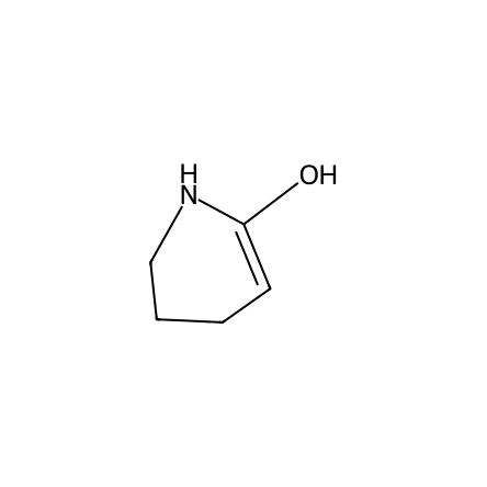 OC1=CCCCN1